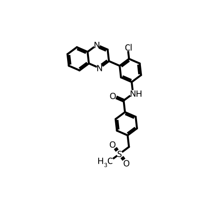 CS(=O)(=O)Cc1ccc(C(=O)Nc2ccc(Cl)c(-c3cnc4ccccc4n3)c2)cc1